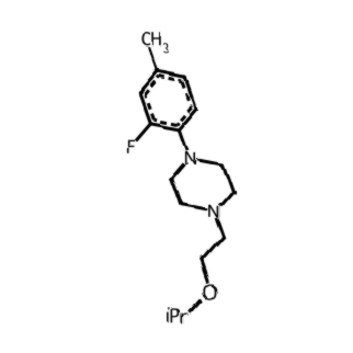 Cc1ccc(N2CCN(CCOC(C)C)CC2)c(F)c1